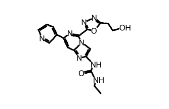 CCNC(=O)Nc1cn2c(-c3nnc(CCO)o3)nc(-c3cccnc3)cc2n1